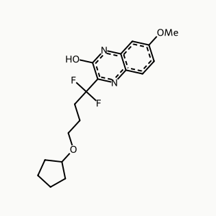 COc1ccc2nc(C(F)(F)CCCOC3CCCC3)c(O)nc2c1